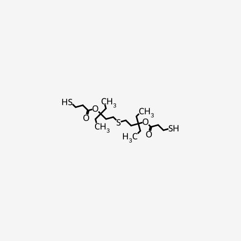 CCC(CC)(CCSCCC(CC)(CC)OC(=O)CCS)OC(=O)CCS